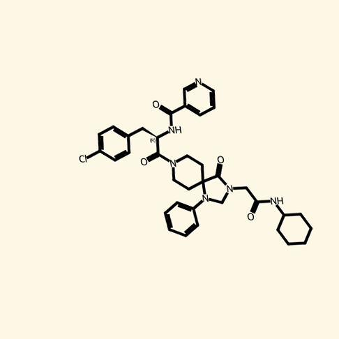 O=C(CN1CN(c2ccccc2)C2(CCN(C(=O)[C@@H](Cc3ccc(Cl)cc3)NC(=O)c3cccnc3)CC2)C1=O)NC1CCCCC1